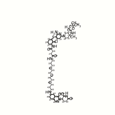 CC1(NC(=O)OC(C)(C)C)CCN(c2ccc(Sc3cccc(NC(=O)CCC(=O)NCCCOCCOCCOCCCNc4ccc5cnn(C6CCC(=O)NC6=O)c(=O)c5c4)c3Cl)c(N)n2)CC1